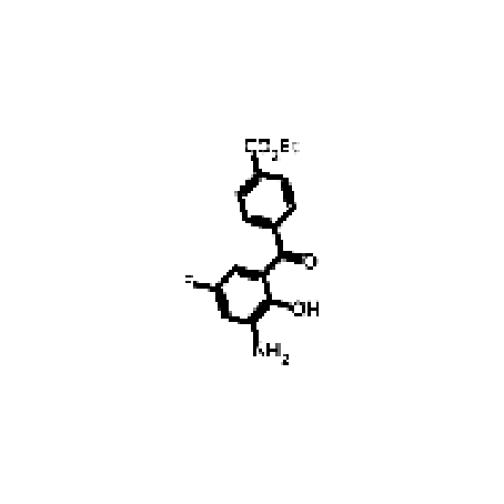 CCOC(=O)c1ccc(C(=O)c2cc(F)cc(N)c2O)cc1